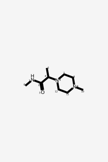 CNC(=O)C(C)N1CCN(C)CC1